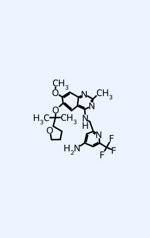 COc1cc2nc(C)nc(NCc3cc(N)cc(C(F)(F)F)n3)c2cc1OC(C)(C)C1CCCO1